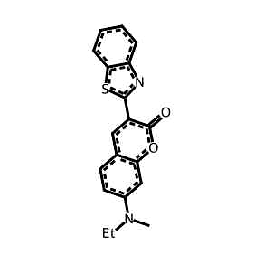 CCN(C)c1ccc2cc(-c3nc4ccccc4s3)c(=O)oc2c1